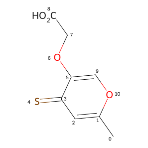 Cc1cc(=S)c(OCC(=O)O)co1